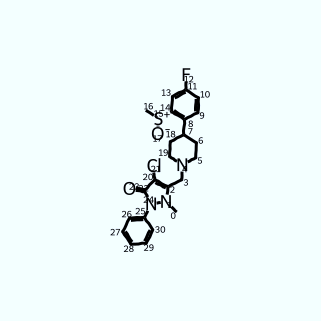 Cn1c(CN2CCC(c3ccc(F)cc3[S+](C)[O-])CC2)c(Cl)c(=O)n1-c1ccccc1